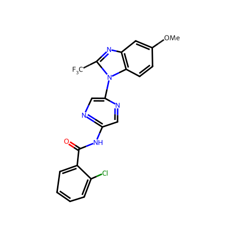 COc1ccc2c(c1)nc(C(F)(F)F)n2-c1cnc(NC(=O)c2ccccc2Cl)cn1